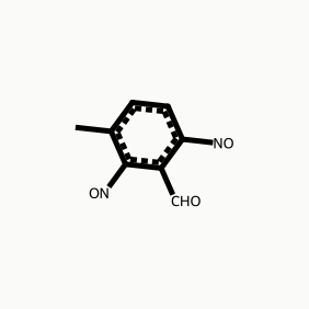 Cc1ccc(N=O)c(C=O)c1N=O